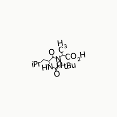 CC(C)CC(NC(=O)OC(C)(C)C)C(=O)NC(C)C(=O)O